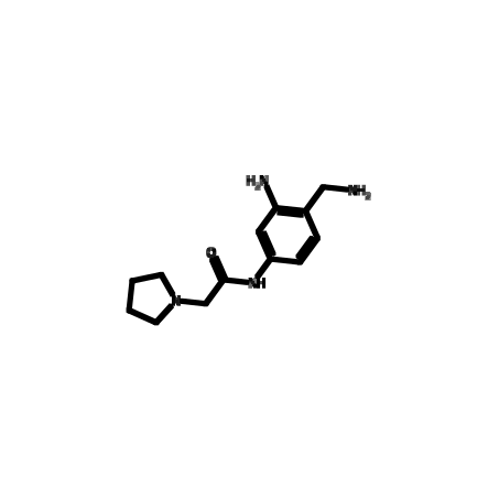 NCc1ccc(NC(=O)CN2CCCC2)cc1N